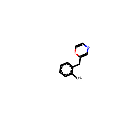 Cc1ccccc1CC1=C[N]C=CO1